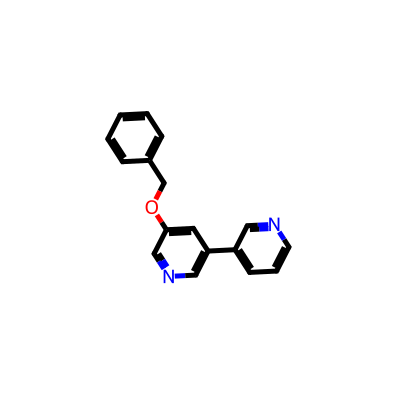 c1ccc(COc2cncc(-c3cccnc3)c2)cc1